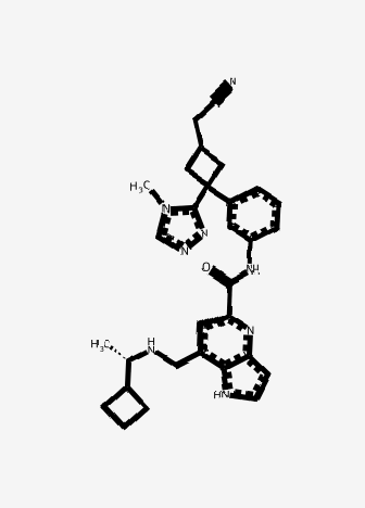 C[C@H](NCc1cc(C(=O)Nc2cccc(C3(c4nncn4C)CC(CC#N)C3)c2)nc2cc[nH]c12)C1CCC1